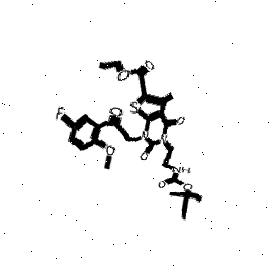 CCOC(=O)c1sc2c(c1C)c(=O)n(CCNC(=O)OC(C)(C)C)c(=O)n2CC(=O)c1cc(F)ccc1OC